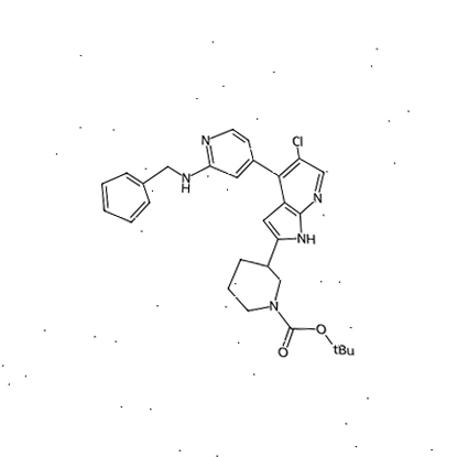 CC(C)(C)OC(=O)N1CCCC(c2cc3c(-c4ccnc(NCc5ccccc5)c4)c(Cl)cnc3[nH]2)C1